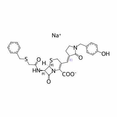 O=C(CSCc1ccccc1)N[C@@H]1C(=O)N2C(C(=O)[O-])=C(/C=C3\CCN(Cc4ccc(O)cc4)C3=O)CS[C@H]12.[Na+]